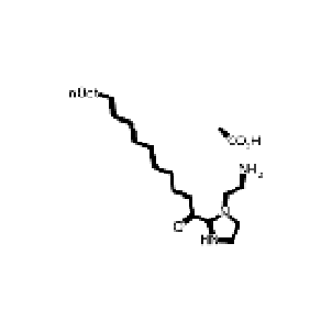 CC(=O)O.CCCCCCCCC=CCCCCCCCC(=O)C1NCCN1CCN